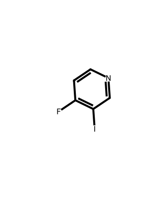 Fc1ccncc1I